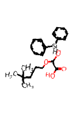 CC(C)(C)CCCOC(O[SiH](c1ccccc1)c1ccccc1)C(=O)O